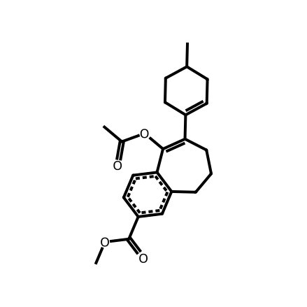 COC(=O)c1ccc2c(c1)CCCC(C1=CCC(C)CC1)=C2OC(C)=O